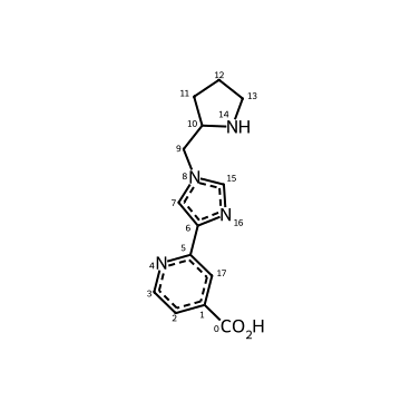 O=C(O)c1ccnc(-c2cn(CC3CCCN3)cn2)c1